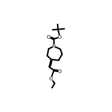 CCOC(=O)/C=C1\CCCN(C(=O)OC(C)(C)C)CC1